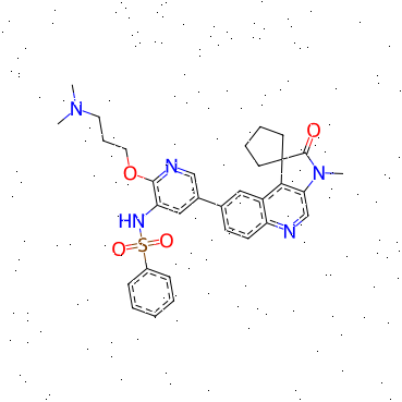 CN(C)CCCOc1ncc(-c2ccc3ncc4c(c3c2)C2(CCCC2)C(=O)N4C)cc1NS(=O)(=O)c1ccccc1